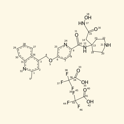 Cc1cc(COc2ccc(C(=O)NC3(CC(=O)NO)CCNCC3)nc2)c2ccccc2n1.O=C(O)C(F)(F)F.O=C(O)C(F)(F)F